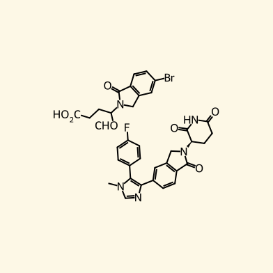 Cn1cnc(-c2ccc3c(c2)CN([C@@H]2CCC(=O)NC2=O)C3=O)c1-c1ccc(F)cc1.O=CC(CCC(=O)O)N1Cc2cc(Br)ccc2C1=O